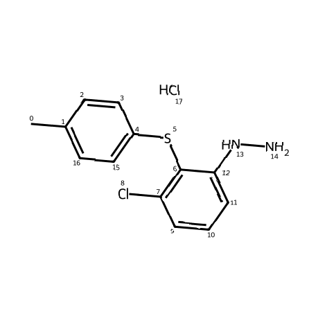 Cc1ccc(Sc2c(Cl)cccc2NN)cc1.Cl